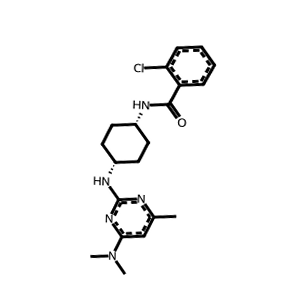 Cc1cc(N(C)C)nc(N[C@H]2CC[C@@H](NC(=O)c3ccccc3Cl)CC2)n1